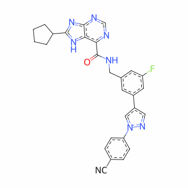 N#Cc1ccc(-n2cc(-c3cc(F)cc(CNC(=O)c4ncnc5nc(C6CCCC6)[nH]c45)c3)cn2)cc1